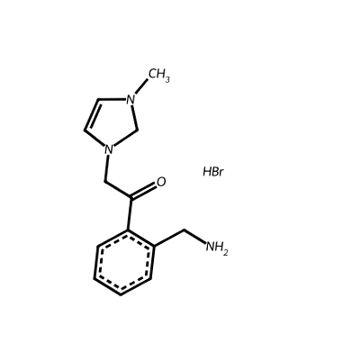 Br.CN1C=CN(CC(=O)c2ccccc2CN)C1